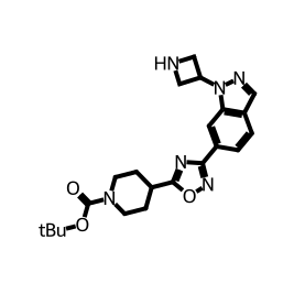 CC(C)(C)OC(=O)N1CCC(c2nc(-c3ccc4cnn(C5CNC5)c4c3)no2)CC1